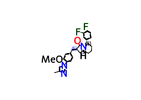 COc1cc(/C=C2\C[C@@H]3CCC[C@@H](c4ccc(F)c(F)c4)N3C2=O)ccc1-n1cnc(C)c1